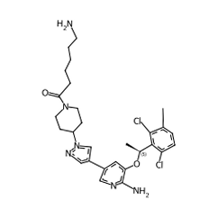 Cc1ccc(Cl)c([C@H](C)Oc2cc(-c3cnn(C4CCN(C(=O)CCCCCN)CC4)c3)cnc2N)c1Cl